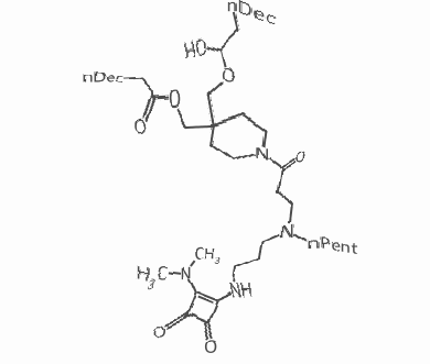 CCCCCCCCCCCC(=O)OCC1(COC(O)CCCCCCCCCCC)CCN(C(=O)CCN(CCCCC)CCCNc2c(N(C)C)c(=O)c2=O)CC1